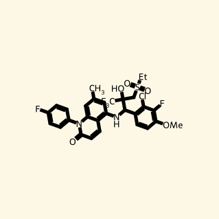 CCS(=O)(=O)CC(O)(C(Nc1cc(C)cc2c1ccc(=O)n2-c1ccc(F)cc1)c1ccc(OC)c(F)c1Cl)C(F)(F)F